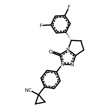 N#CC1(c2ccc(-n3nc4n(c3=O)[C@H](c3cc(F)cc(F)c3)CC4)cc2)CC1